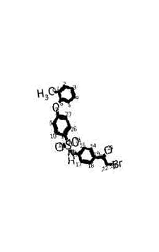 Cc1ccccc1Oc1ccc(S(=O)(=O)Nc2ccc(C(=O)CBr)cc2)cc1